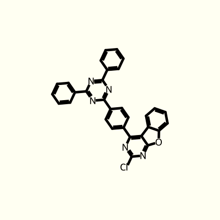 Clc1nc(-c2ccc(-c3nc(-c4ccccc4)nc(-c4ccccc4)n3)cc2)c2c(n1)oc1ccccc12